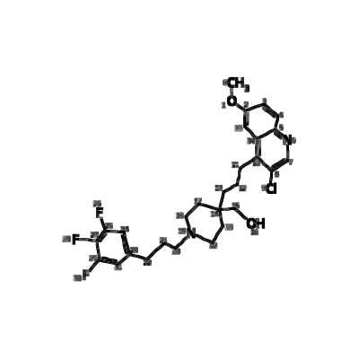 COc1ccc2ncc(Cl)c(CCCC3(CO)CCN(CCCc4cc(F)c(F)c(F)c4)CC3)c2c1